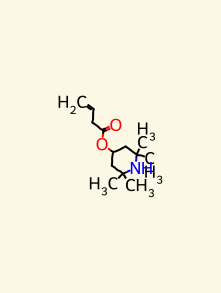 C=CCC(=O)OC1CC(C)(C)NC(C)(C)C1